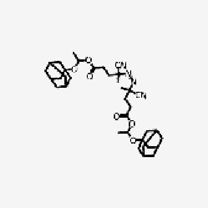 CC(OC(=O)CCC(C)(C#N)/N=N\C(C)(C#N)CCC(=O)OC(C)OC12CC3CC(CC(C3)C1)C2)OC12CC3CC(CC(C3)C1)C2